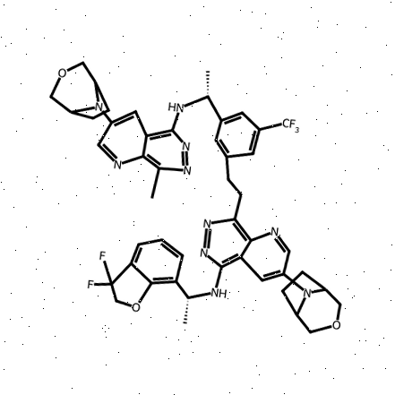 Cc1nnc(N[C@H](C)c2cc(CCc3nnc(N[C@H](C)c4cccc5c4OCC5(F)F)c4cc(N5C6CCC5COC6)cnc34)cc(C(F)(F)F)c2)c2cc(N3C4CCC3COC4)cnc12